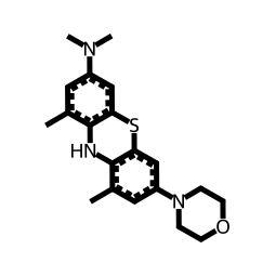 Cc1cc(N(C)C)cc2c1Nc1c(C)cc(N3CCOCC3)cc1S2